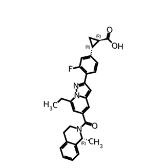 CCc1cc(C(=O)N2CCc3ccccc3[C@H]2C)cc2cc(-c3ccc([C@@H]4C[C@H]4C(=O)O)cc3F)nn12